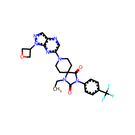 CCN1C(=O)N(c2ccc(C(F)(F)F)cc2)C(=O)C12CCN(c1cnc3cnn(C4COC4)c3n1)CC2